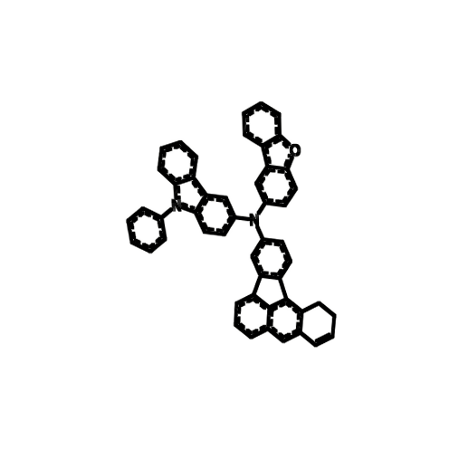 C1=Cc2cc3cccc4c3c(c2CC1)-c1ccc(N(c2ccc3oc5ccccc5c3c2)c2ccc3c(c2)c2ccccc2n3-c2ccccc2)cc1-4